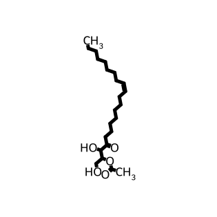 CCCCCCCC/C=C\CCCCCCCC(=O)C(O)C(CO)OC(C)=O